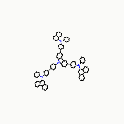 c1ccc(N(c2ccc(-c3ccc4c(c3)c3cc(-c5ccc(N(c6ccccc6)c6cc7ccccc7c7ccccc67)cc5)ccc3n4-c3ccc(-c4ccc(N(c5ccccc5)c5cc6ccccc6c6ccccc56)cc4)cc3)cc2)c2cccc3ccccc23)cc1